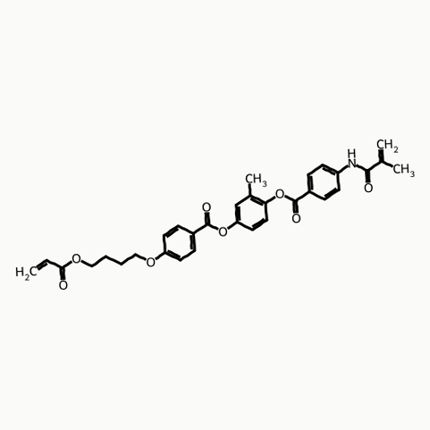 C=CC(=O)OCCCCOc1ccc(C(=O)Oc2ccc(OC(=O)c3ccc(NC(=O)C(=C)C)cc3)c(C)c2)cc1